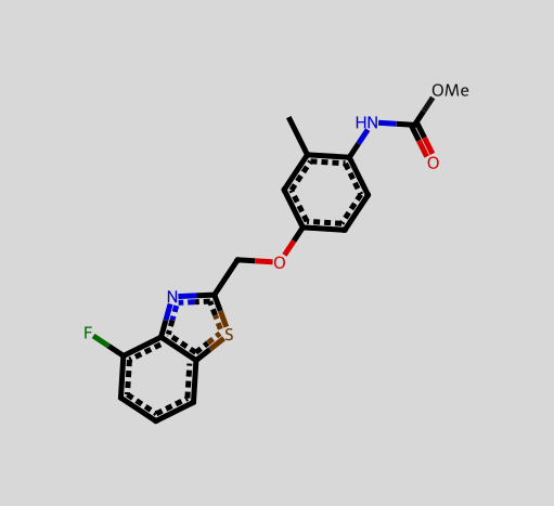 COC(=O)Nc1ccc(OCc2nc3c(F)cccc3s2)cc1C